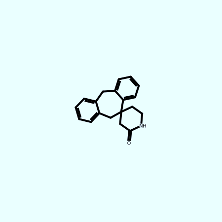 O=C1CC2(CCN1)Cc1ccccc1Cc1ccccc12